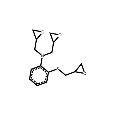 c1ccc(N(CC2CO2)CC2CO2)c(SCC2CO2)c1